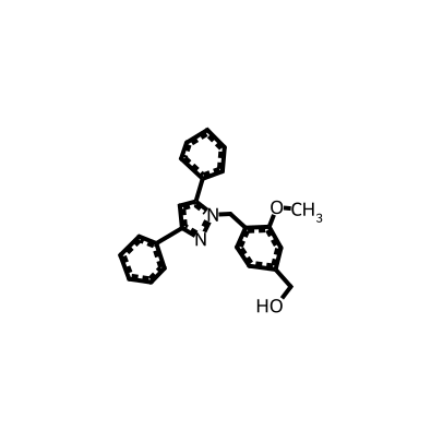 COc1cc(CO)ccc1Cn1nc(-c2ccccc2)cc1-c1ccccc1